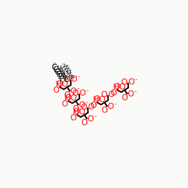 O=C([O-])CC(O)(CC(=O)[O-])C(=O)[O-].O=C([O-])CC(O)(CC(=O)[O-])C(=O)[O-].O=C([O-])CC(O)(CC(=O)[O-])C(=O)[O-].O=C([O-])CC(O)(CC(=O)[O-])C(=O)[O-].O=C([O-])CC(O)(CC(=O)[O-])C(=O)[O-].[Cu+2].[Cu+2].[Cu+2].[Fe+3].[Fe+3].[Fe+3]